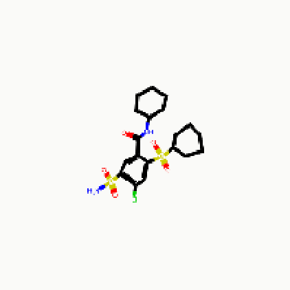 NS(=O)(=O)c1cc(C(=O)NC2CCCCC2)c(S(=O)(=O)C2CCCCC2)cc1Cl